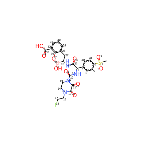 CS(=O)(=O)c1ccc(C(NC(=O)N2CCN(CCF)C(=O)C2=O)C(=O)N[C@H]2Cc3cccc(C(=O)O)c3OB2O)cc1